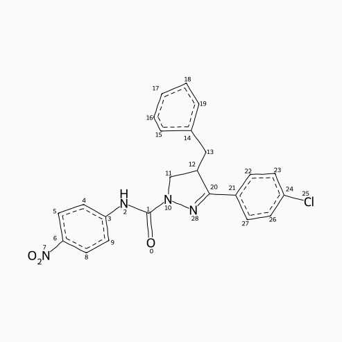 O=C(Nc1ccc([N+](=O)[O-])cc1)N1CC(Cc2ccccc2)C(c2ccc(Cl)cc2)=N1